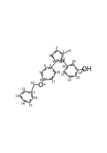 Cc1ccc(-c2ccc(OCc3ccccc3)cc2)n1-c1cccc(O)c1